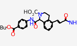 CC(C)(C)OC(=O)c1ccc(NC(=O)C2c3cccc(/C=C/C(N)=O)c3CCN2C(=O)O)cc1